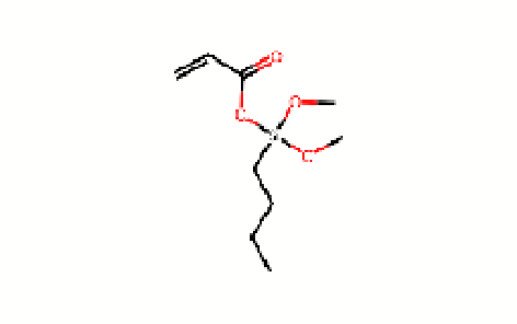 C=CC(=O)O[Si](CCCC)(OC)OC